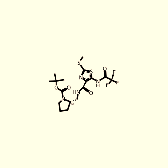 CSc1nc(C(=O)NC[C@@H]2CCCN2C(=O)OC(C)(C)C)c(NC(=O)C(F)(F)F)s1